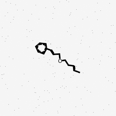 CC=CCCOC/C=C/c1ccccc1